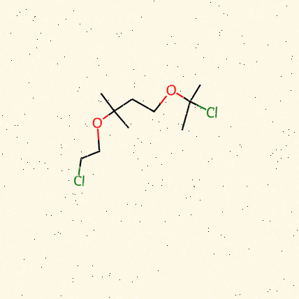 CC(C)(Cl)OCCC(C)(C)OCCCl